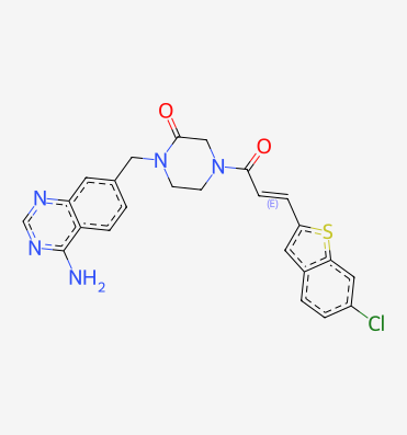 Nc1ncnc2cc(CN3CCN(C(=O)/C=C/c4cc5ccc(Cl)cc5s4)CC3=O)ccc12